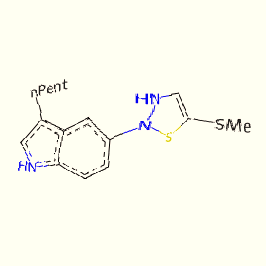 CCCCCc1c[nH]c2ccc(N3NC=C(SC)S3)cc12